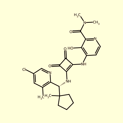 Cc1cc(Cl)cnc1[C@H](Nc1c(Nc2ccnc(C(=O)N(C)C)c2O)c(=O)c1=O)C1(C)CCCC1